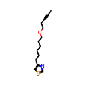 CC#CCCOCCCCCCc1cscn1